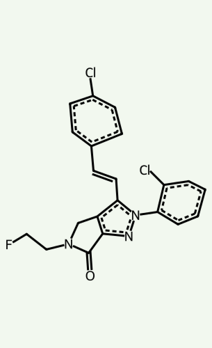 O=C1c2nn(-c3ccccc3Cl)c(C=Cc3ccc(Cl)cc3)c2CN1CCF